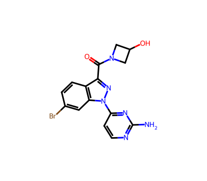 Nc1nccc(-n2nc(C(=O)N3CC(O)C3)c3ccc(Br)cc32)n1